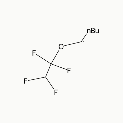 CCCC[CH]OC(F)(F)C(F)F